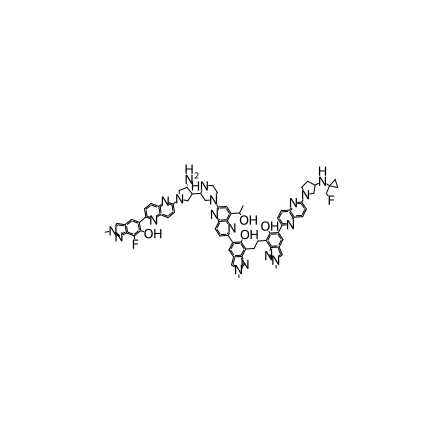 CC(O)c1cc(N2CCNC(C3CN(c4ccc5nc(-c6cc7cn(C)nc7c(F)c6O)ccc5n4)C[C@@H]3N)C2)nc2ccc(-c3cc4cn(C)nc4c(CCc4c(O)c(-c5ccc6nc(N7CCC(NC8(CF)CC8)C7)ccc6n5)cc5cn(C)nc45)c3O)nc12